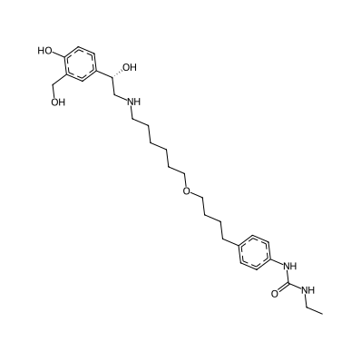 CCNC(=O)Nc1ccc(CCCCOCCCCCCNC[C@@H](O)c2ccc(O)c(CO)c2)cc1